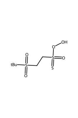 CC(C)(C)S(=O)(=O)CCS(=O)(=S)OO